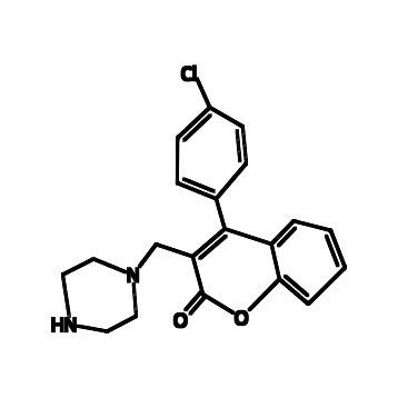 O=c1oc2ccccc2c(-c2ccc(Cl)cc2)c1CN1CCNCC1